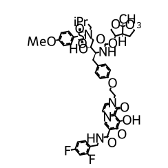 COc1ccc(S(=O)(=O)N(CC(C)C)C[C@@H](O)[C@H](Cc2ccc(OCCn3ccn4cc(C(=O)NCc5ccc(F)cc5F)c(=O)c(O)c4c3=O)cc2)NC(=O)O[C@H]2CO[C@@]3(C)OCC[C@@H]23)cc1